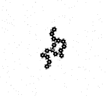 c1cc(-c2cc(-c3cccc(-n4c5ccccc5c5cc(-c6ccc7sc8ccccc8c7c6)ccc54)c3)nc(-c3ccc(-n4c5ccccc5c5cc(-c6ccc7sc8ccccc8c7c6)ccc54)cc3)n2)cc(-n2c3ccccc3c3cc(-c4ccc5sc6ccccc6c5c4)ccc32)c1